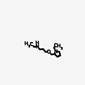 CCNCCCOCC1CCCN1CC